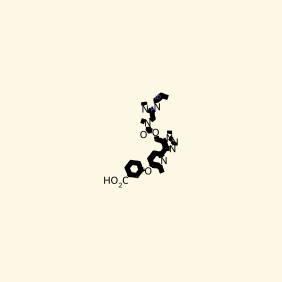 C=N/C(CN(C)C(=O)OCc1c(-c2ccc(O[C@H]3CCC[C@H](C(=O)O)C3)c(C)n2)nnn1C)=N\C=C/C